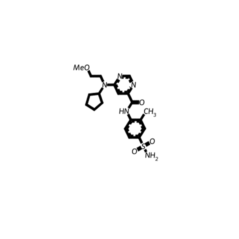 COCCN(c1cc(C(=O)Nc2ccc(S(N)(=O)=O)cc2C)ncn1)C1CCCC1